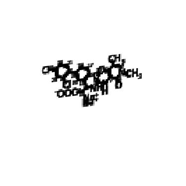 Cc1cn(C)c(=O)c(NC(=O)NC(CC(=O)[O-])c2cccc(-c3ccc(Cl)cc3Cl)c2)c1[O-].[Na+].[Na+]